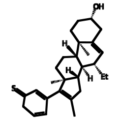 CC[C@H]1C=C2C[C@@H](O)CC[C@]2(C)[C@H]2CC[C@]3(C)C(C4=CC(=S)CC=C4)=C(C)C[C@H]3[C@H]12